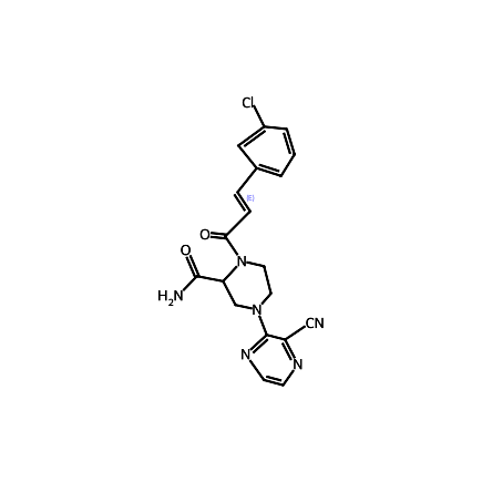 N#Cc1nccnc1N1CCN(C(=O)/C=C/c2cccc(Cl)c2)C(C(N)=O)C1